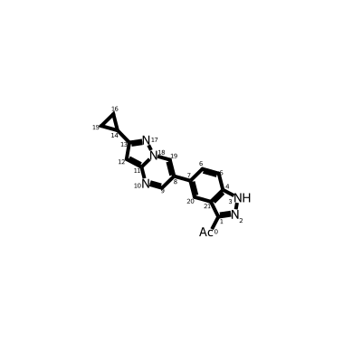 CC(=O)c1n[nH]c2ccc(-c3cnc4cc(C5CC5)nn4c3)cc12